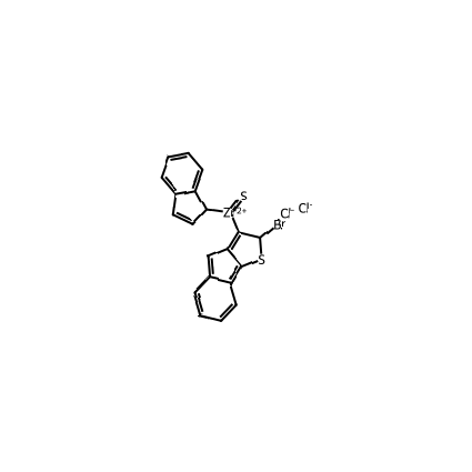 [Cl-].[Cl-].[S]=[Zr+2]([C]1=C2C=c3ccccc3=C2SC1Br)[CH]1C=Cc2ccccc21